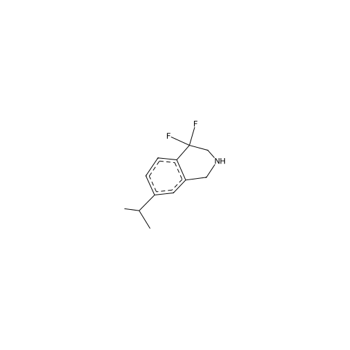 CC(C)c1ccc2c(c1)CNCC2(F)F